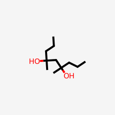 CCCC(C)(O)CC(C)(O)CCC